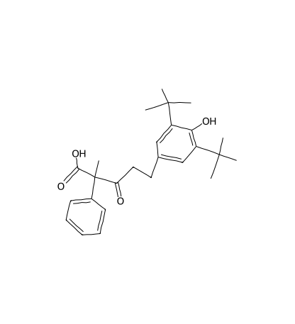 CC(C)(C)c1cc(CCC(=O)C(C)(C(=O)O)c2ccccc2)cc(C(C)(C)C)c1O